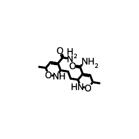 CC1C=C(C(N)=O)C(CCC2NOC(C)C=C2C(N)=O)NO1